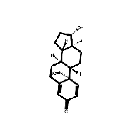 C[C@]12CC[C@H]3[C@@H](CCC4=CC(=O)C=C[C@@]43CO)[C@@H]1CC[C@@H]2O